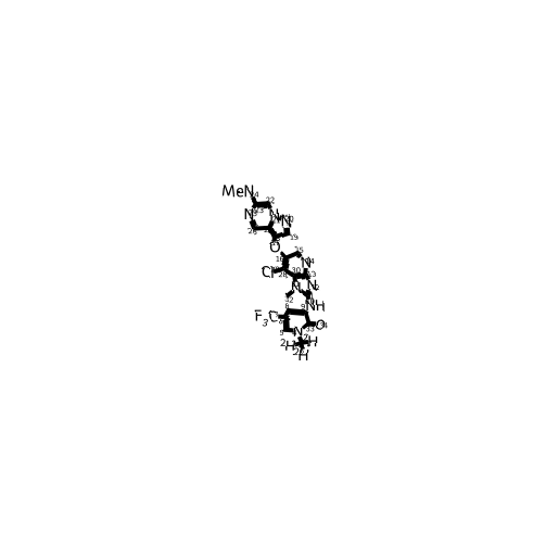 [2H]C([2H])([2H])n1cc(C(F)(F)F)cc(Nc2nc3ncc(Oc4cnn5cc(NC)ncc45)c(Cl)c3n2C)c1=O